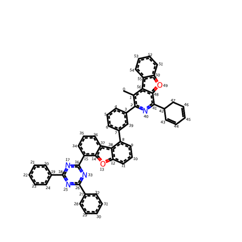 Cc1c(-c2cccc(-c3cccc4oc5c(-c6nc(-c7ccccc7)nc(-c7ccccc7)n6)cccc5c34)c2)nc(C2C=CC=CC2)c2oc3ccccc3c12